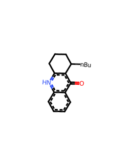 CCCCC1CCCc2[nH]c3ccccc3c(=O)c21